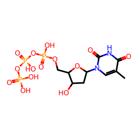 Cc1cn(C2CC(O)C(COP(=O)(O)OP(=O)(O)OP(=O)(O)O)O2)c(=O)[nH]c1=O